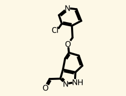 O=Cc1n[nH]c2ccc(OCc3ccncc3Cl)cc12